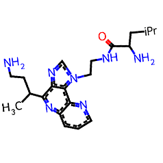 CC(C)CC(N)C(=O)NCCn1cnc2c(C(C)CCN)nc3cccnc3c21